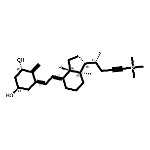 C=C1/C(=C\C=C2/CCC[C@]3(C)[C@@H]([C@H](C)CC#C[Si](C)(C)C)CC[C@@H]23)C[C@@H](O)C[C@@H]1O